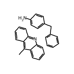 Cc1c2ccccc2nc2ccccc12.Nc1ccc(Cc2ccccc2)cc1